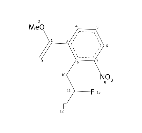 C=C(OC)c1cccc([N+](=O)[O-])c1CC(F)F